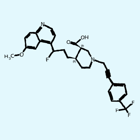 COc1ccc2nccc(C(F)CC[C@@H]3CCN(CC#Cc4ccc(C(F)(F)F)cc4)C[C@@H]3C(=O)O)c2c1